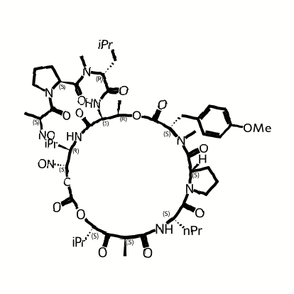 CCC[C@@H]1NC(=O)[C@@H](C)C(=O)[C@H](C(C)C)OC(=O)C[C@H](N=O)[C@@H](C(C)C)NC(=O)[C@@H](NC(=O)[C@@H](CC(C)C)N(C)C(=O)[C@@H]2CCCN2C(=O)[C@H](C)N=O)[C@@H](C)OC(=O)[C@H](Cc2ccc(OC)cc2)N(C)C(=O)[C@@H]2CCCN2C1=O